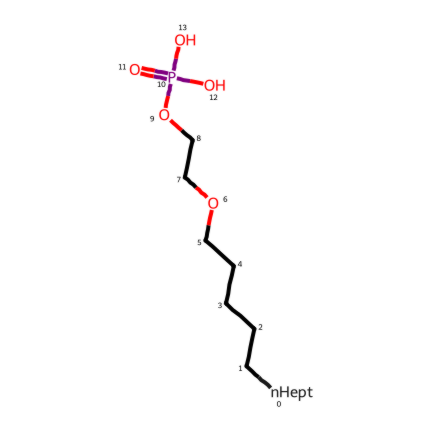 CCCCCCCCCCCCOCCOP(=O)(O)O